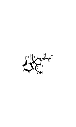 NC1(c2ccccc2F)CN(BC=O)CC1CO